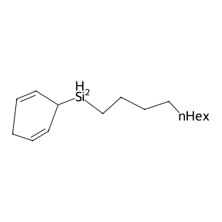 CCCCCCCCCC[SiH2]C1C=CCC=C1